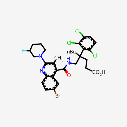 CCCCC(CCC(=O)O)(CNC(=O)c1c(C)c(N2CCCC(F)C2)nc2ccc(Br)cc12)c1c(Cl)ccc(Cl)c1Cl